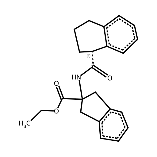 CCOC(=O)C1(NC(=O)[C@@H]2CCCc3ccccc32)Cc2ccccc2C1